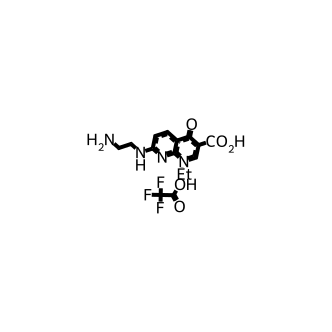 CCn1cc(C(=O)O)c(=O)c2ccc(NCCN)nc21.O=C(O)C(F)(F)F